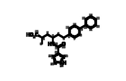 C[C@H](C[C@@H](CCc1ccc(-c2ccccc2)cc1)NC(=O)c1nn[nH]n1)C(=O)O